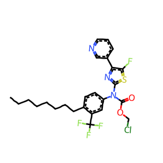 CCCCCCCCc1ccc(N(C(=O)OCCl)c2nc(-c3cccnc3)c(F)s2)cc1C(F)(F)F